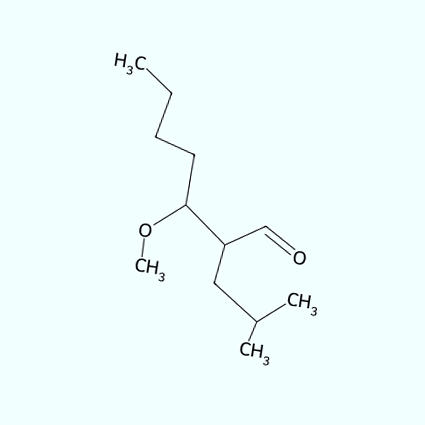 CCCCC(OC)C(C=O)CC(C)C